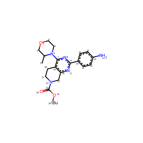 CC1COCCN1c1nc(-c2ccc(N)cc2)nc2c1CCN(C(=O)OC(C)(C)C)C2